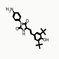 CC(C)(C)c1cc(C=CC2NC(=O)N(c3ccc(N)cc3)C2=O)cc(C(C)(C)C)c1O